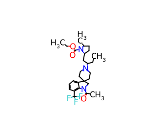 CCOC(=O)N1C(C)CCC1CC(CC)N1CCC2(CC1)CN(C(C)=O)c1c(C(F)(F)F)cccc12